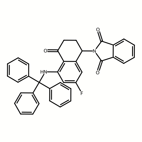 O=C1CCC(N2C(=O)c3ccccc3C2=O)c2cc(F)cc(NC(c3ccccc3)(c3ccccc3)c3ccccc3)c21